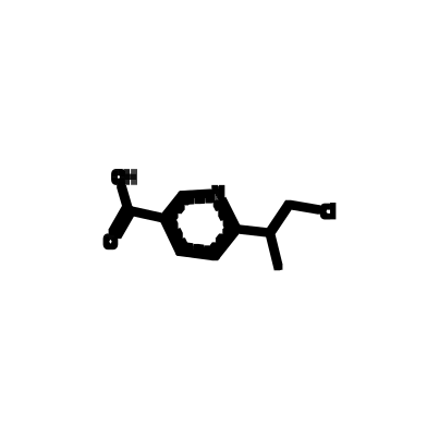 CC(CCl)c1ccc(C(=O)O)cn1